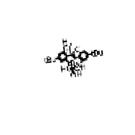 Cc1cc(C(C)(C)C)cc(C(C)(C)C)c1C=Cc1c(C)cc(C(C)(C)C)cc1C(C)(C)C.OP(O)O